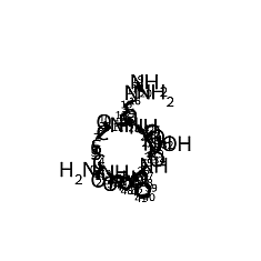 NC(=O)C1CSSCCC(=O)N[C@@H](CCCCN=C(N)N)C(=O)NCC(=O)N[C@@H](CC(=O)O)C(=O)N/C(=C/c2ccccc2)C(=O)N2CCC[C@H]2C(=O)N1